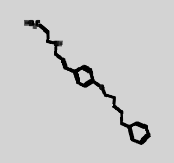 O=C(O)CCNC/C=C/c1ccc(OCCCCCc2ccccc2)cc1